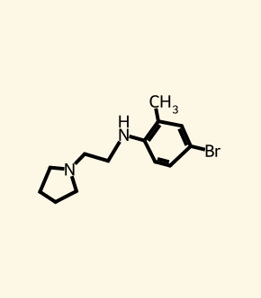 Cc1cc(Br)ccc1NCCN1CCCC1